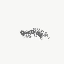 COc1ccccc1COC(=O)CN1CC[C@@H](NC(=O)c2cc(Cl)c(N)nc2OC)[C@@H](OC)C1